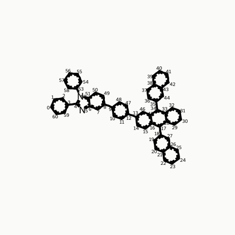 c1ccc(-c2nc3cc(-c4ccc(-c5ccc6c(-c7ccc8ccccc8c7)c7ccccc7c(-c7ccc8ccccc8c7)c6c5)cc4)ccc3n2-c2ccccc2)cc1